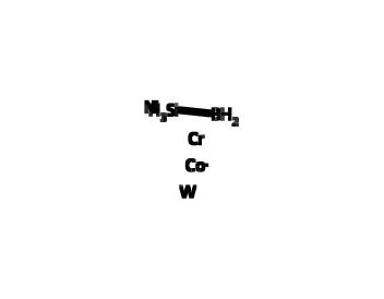 B[SiH3].[Co].[Cr].[Ni].[W]